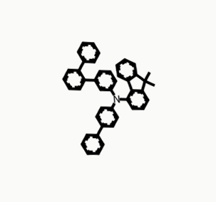 CC1(C)c2ccccc2-c2c(N(c3ccc(-c4ccccc4)cc3)c3cccc(-c4ccccc4-c4ccccc4)c3)cccc21